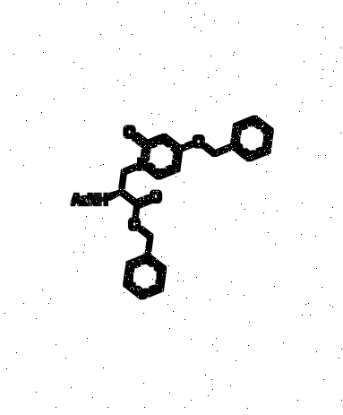 CC(=O)N[C@@H](Cn1ccc(OCc2ccccc2)cc1=O)C(=O)OCc1ccccc1